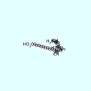 CCCN(CCCN/C(=N/c1cccc(C#N)c1)NCCOCCOCCOCCOCCOCCOCCOCCOCCOCCOCCC(=O)O)C(=O)C1=Cc2ccc(-c3cccc(S(=O)(=O)N4CC(CN(C)C)C4)c3)cc2N=C(N)C1